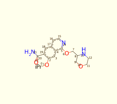 CC(C)Oc1cc2c(OCC3COCCN3)nccc2cc1C(N)=O